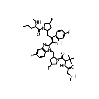 CCCC(NC)C(=O)N1CC(F)CC1Cc1c(-c2nc3cc(F)ccc3n2CC2CC(F)CN2C(=O)C(NC(=O)CNC)C(C)(C)C)[nH]c2cc(F)ccc12